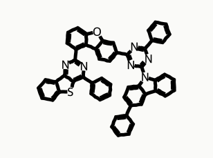 c1ccc(-c2ccc3c(c2)c2ccccc2n3-c2nc(-c3ccccc3)nc(-c3ccc4c(c3)oc3cccc(-c5nc(-c6ccccc6)c6sc7ccccc7c6n5)c34)n2)cc1